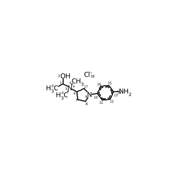 CC(O)[N+](C)(C)C1CCN(c2ccc(N)cc2)C1.[Cl-]